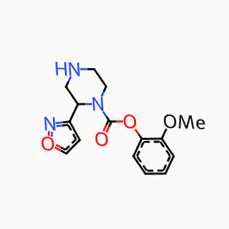 COc1ccccc1OC(=O)N1CCNCC1c1ccon1